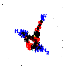 [N-]=[N+]=NCCOCCOCCOc1ccc(CS[P@]2(=O)OC[C@H]3O[C@@H](n4cnc5c(N)ncnc54)[C@H](F)[C@@H]3OP(=O)(O)OC[C@H]3O[C@@H](n4cnc5c(N)ncnc54)C[C@@H]3O2)cc1